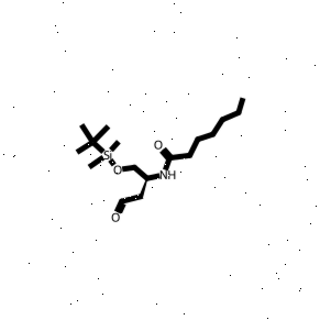 CCCCCCC(=O)N[C@@H](CC=O)CO[Si](C)(C)C(C)(C)C